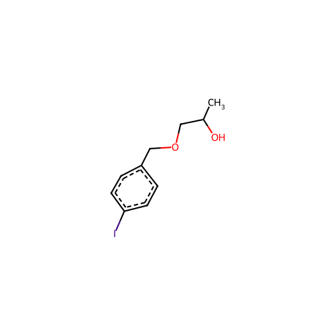 CC(O)COCc1ccc(I)cc1